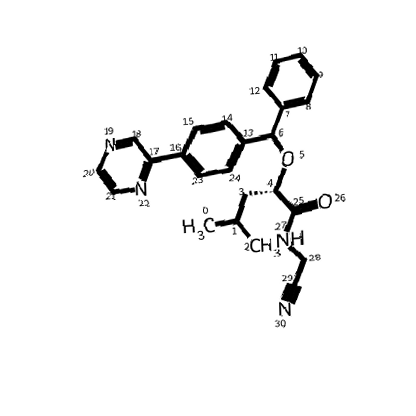 CC(C)C[C@H](OC(c1ccccc1)c1ccc(-c2cnccn2)cc1)C(=O)NCC#N